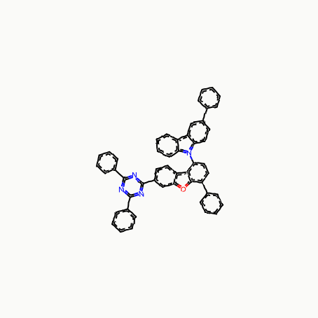 c1ccc(-c2ccc3c(c2)c2ccccc2n3-c2ccc(-c3ccccc3)c3oc4cc(-c5nc(-c6ccccc6)nc(-c6ccccc6)n5)ccc4c23)cc1